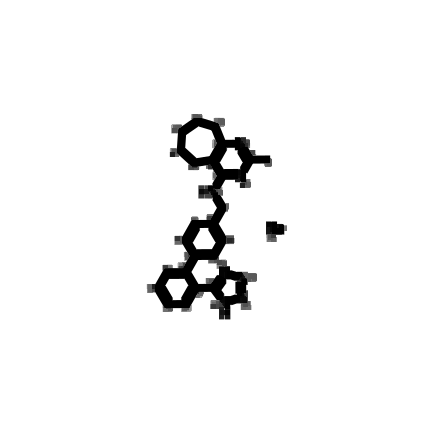 Cc1nc2c(c(NCc3ccc(-c4ccccc4-c4nnn[nH]4)cc3)n1)CCCCC2.[Na]